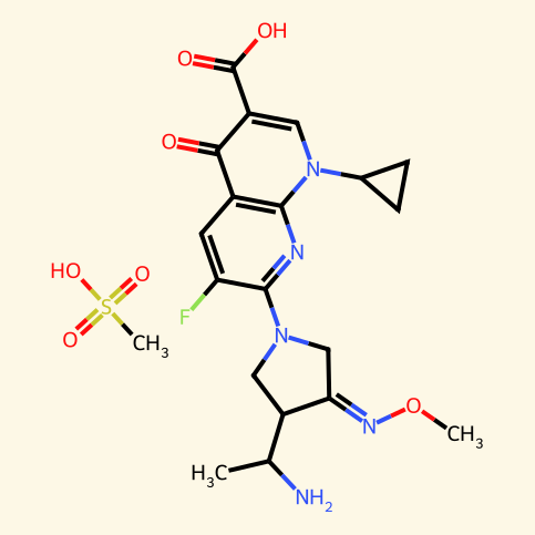 CO/N=C1\CN(c2nc3c(cc2F)c(=O)c(C(=O)O)cn3C2CC2)CC1C(C)N.CS(=O)(=O)O